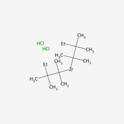 CCC(C)(C)[C](C)(C)[Zr][C](C)(C)C(C)(C)CC.Cl.Cl